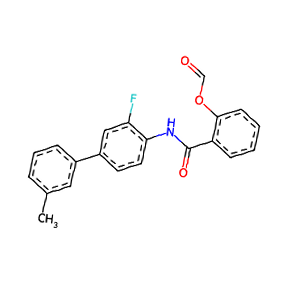 Cc1cccc(-c2ccc(NC(=O)c3ccccc3OC=O)c(F)c2)c1